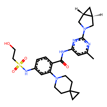 Cc1cc(NC(=O)c2ccc(NS(=O)(=O)CCO)cc2N2CCC3(CC2)CC3)nc(N2C[C@@H]3C[C@H]3C2)n1